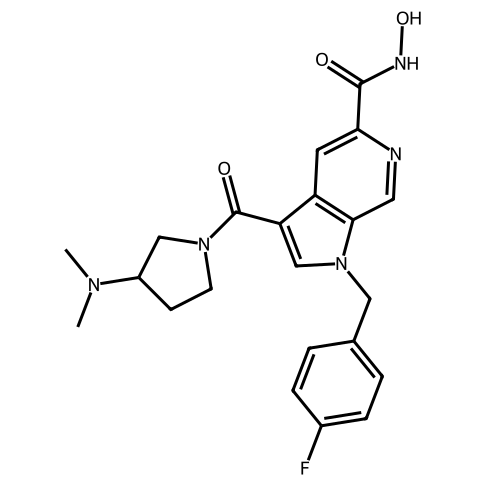 CN(C)C1CCN(C(=O)c2cn(Cc3ccc(F)cc3)c3cnc(C(=O)NO)cc23)C1